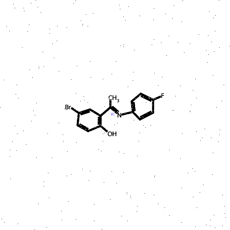 C/C(=N\c1ccc(F)cc1)c1cc(Br)ccc1O